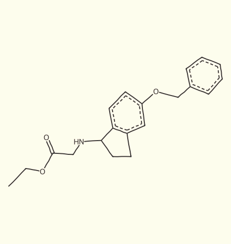 CCOC(=O)CNC1CCc2cc(OCc3ccccc3)ccc21